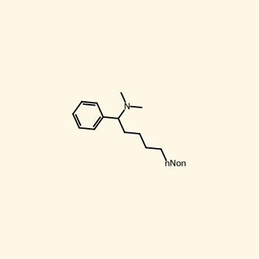 CCCCCCCCCCCCCC(c1ccccc1)N(C)C